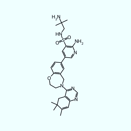 CC1=Cc2ncnc(N3CCOc4ccc(-c5cnc(N)c(S(=O)(=O)NCC(C)(C)N)c5)cc4C3)c2CC1(C)C